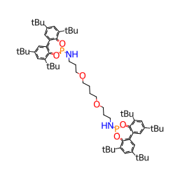 CC(C)(C)c1cc(C(C)(C)C)c2op(NCCCOCCCCOCCCNp3oc4c(C(C)(C)C)cc(C(C)(C)C)cc4c4cc(C(C)(C)C)cc(C(C)(C)C)c4o3)oc3c(C(C)(C)C)cc(C(C)(C)C)cc3c2c1